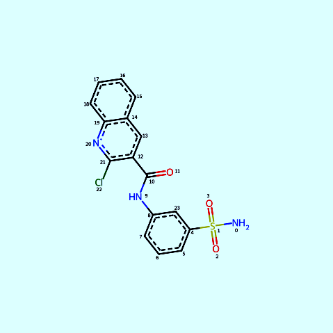 NS(=O)(=O)c1cccc(NC(=O)c2cc3ccccc3nc2Cl)c1